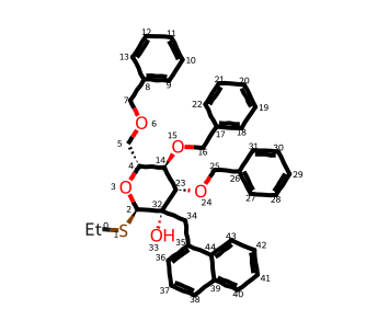 CCS[C@H]1O[C@H](COCc2ccccc2)[C@@H](OCc2ccccc2)[C@H](OCc2ccccc2)[C@@]1(O)Cc1cccc2ccccc12